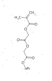 C=C(C)C(=O)OCC(=O)OCC(=O)OCCC